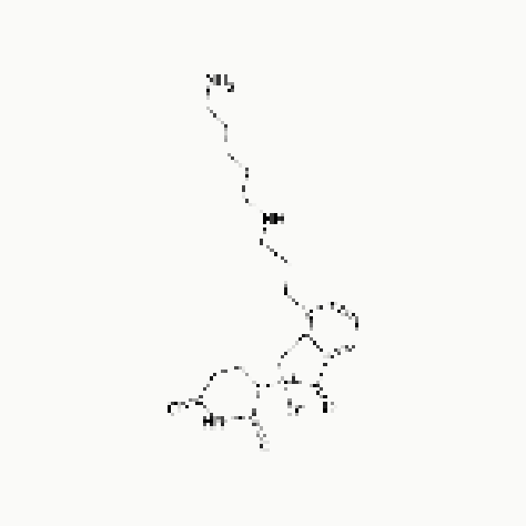 NCCCCCNCCCc1cccc2c1C[N+]([O-])(C1CCC(=O)NC1=O)C2=O